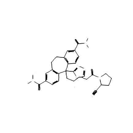 C[C@H](CC1(c2nnc[nH]2)c2ccc(C(=O)N(C)C)cc2CCc2cc(C(=O)N(C)C)ccc21)NCC(=O)N1CCCC1C#N